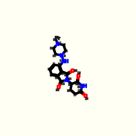 CC(C)N1CCN(Nc2cccc3c2C(=O)N(C2CCC(=O)NC2=O)C3=O)CC1